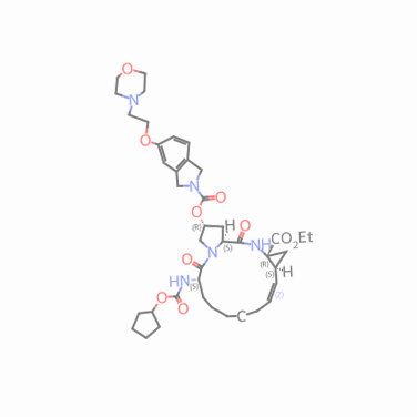 CCOC(=O)[C@@]12C[C@H]1/C=C\CCCCC[C@H](NC(=O)OC1CCCC1)C(=O)N1C[C@H](OC(=O)N3Cc4ccc(OCCN5CCOCC5)cc4C3)C[C@H]1C(=O)N2